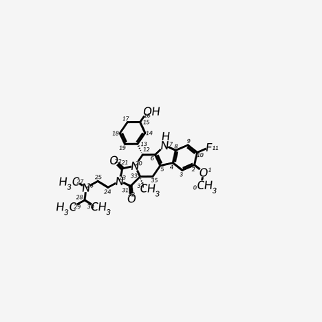 COc1cc2c3c([nH]c2cc1F)[C@@H](C1=CC(O)CC=C1)N1C(=O)N(CCN(C)C(C)C)C(=O)[C@]1(C)C3